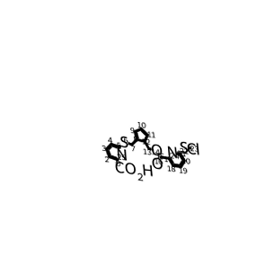 O=C(O)c1cccc(SCC2=CC=CC2COC(=O)c2cccc(SCl)n2)n1